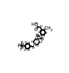 Cc1ccc(S(=O)(=O)N2CCN(Cc3ccc(C(F)(F)F)cc3)CC2)cc1CC(=O)O